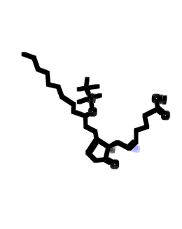 CCCCCCCCCC(CCC1=CCC(=O)[C@@H]1C/C=C\CCCC(=O)O)O[Si](C)(C)C(C)(C)C